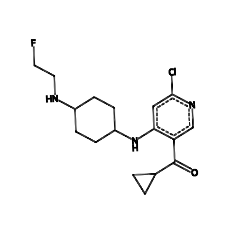 O=C(c1cnc(Cl)cc1NC1CCC(NCCF)CC1)C1CC1